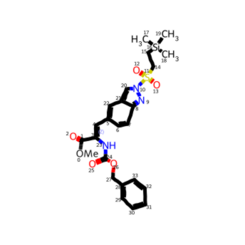 COC(=O)/C(=C/c1ccc2nn(S(=O)(=O)CC[Si](C)(C)C)cc2c1)NC(=O)OCc1ccccc1